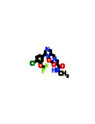 CNC(=O)C1CN(Cc2cncc(-c3ccc(Cl)c(OC(F)F)c3)n2)C(=O)O1